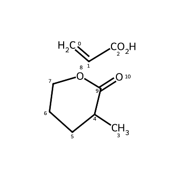 C=CC(=O)O.CC1CCCOC1=O